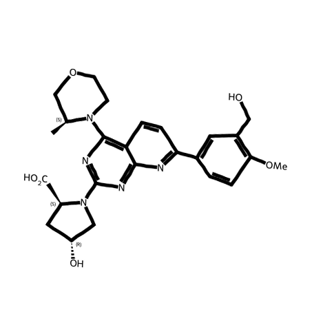 COc1ccc(-c2ccc3c(N4CCOC[C@@H]4C)nc(N4C[C@H](O)C[C@H]4C(=O)O)nc3n2)cc1CO